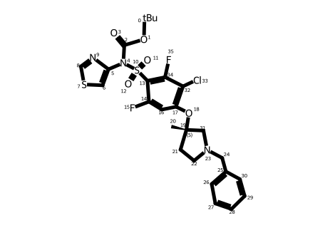 CC(C)(C)OC(=O)N(c1cscn1)S(=O)(=O)c1c(F)cc(O[C@@]2(C)CCN(Cc3ccccc3)C2)c(Cl)c1F